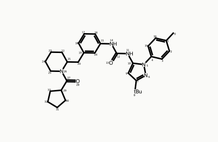 Cc1ccc(-n2nc(C(C)(C)C)cc2NC(=O)Nc2cccc(CC3CCCCN3C(=O)C3CCCC3)c2)cc1